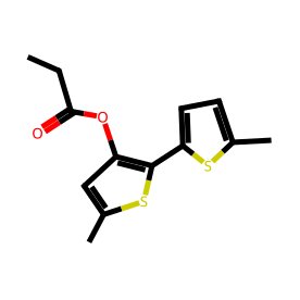 CCC(=O)Oc1cc(C)sc1-c1ccc(C)s1